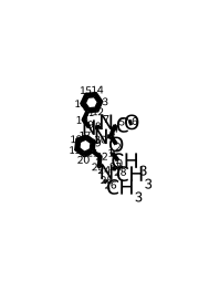 CCOC1C(=C=O)N=C2N(Cc3ccccc3)c3cccc(CCN(CC)CC)c3N21